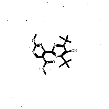 CNC(=O)c1cnc(OC)nc1-c1nc(C(C)(C)C)c(O)c(C(C)(C)C)n1